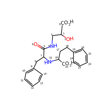 O=C(O)C(O)CNC(=O)C(Cc1ccccc1)NC(CCc1ccccc1)C(=O)O